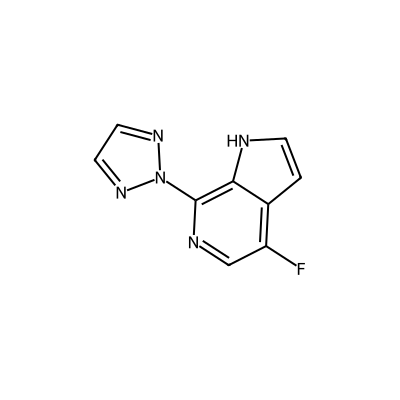 Fc1cnc(-n2nccn2)c2[nH]ccc12